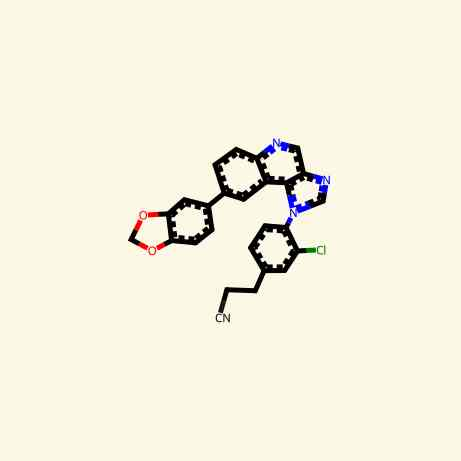 N#CCCc1ccc(-n2cnc3cnc4ccc(-c5ccc6c(c5)OCO6)cc4c32)c(Cl)c1